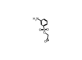 Nc1cccc(S(=O)(=O)OCC2CO2)c1